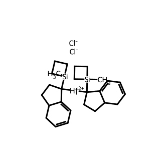 C[Si]1([C]2([Hf+2][C]3([Si]4(C)CCC4)CCC4CC=CC=C43)CCC3CC=CC=C32)CCC1.[Cl-].[Cl-]